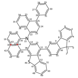 CC1(C)c2ccccc2-c2cc(-c3cc(N(c4ccccc4)c4ccc(-c5ccccc5)c5ccccc45)c(-c4ccccc4)c4sc5ccccc5c34)ccc21